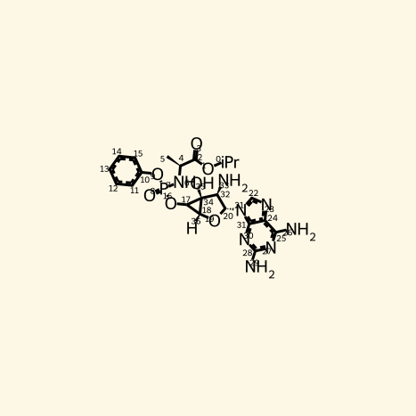 CC(C)OC(=O)[C@H](C)NP(=O)(Oc1ccccc1)OC1[C@H]2O[C@@H](n3cnc4c(N)nc(N)nc43)[C@H](N)[C@@]12O